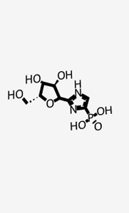 O=P(O)(O)c1c[nH]c(C2O[C@H](CO)[C@@H](O)[C@H]2O)n1